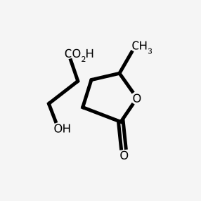 CC1CCC(=O)O1.O=C(O)CCO